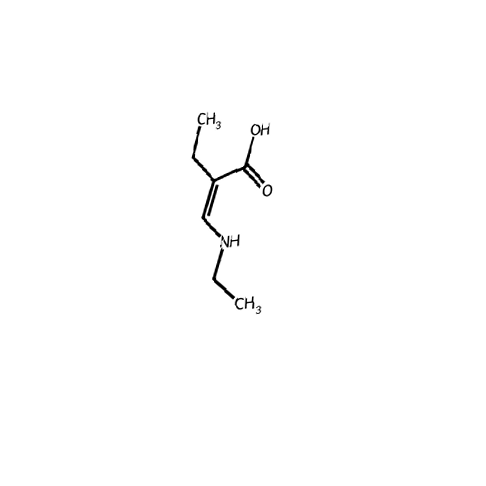 CCNC=C(CC)C(=O)O